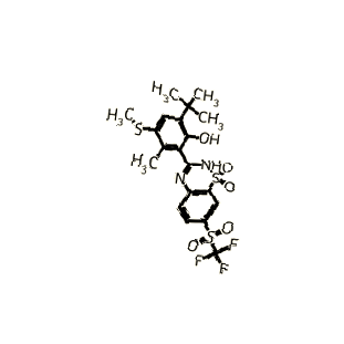 CSc1cc(C(C)(C)C)c(O)c(C2=Nc3ccc(S(=O)(=O)C(F)(F)F)cc3S(=O)(=O)N2)c1C